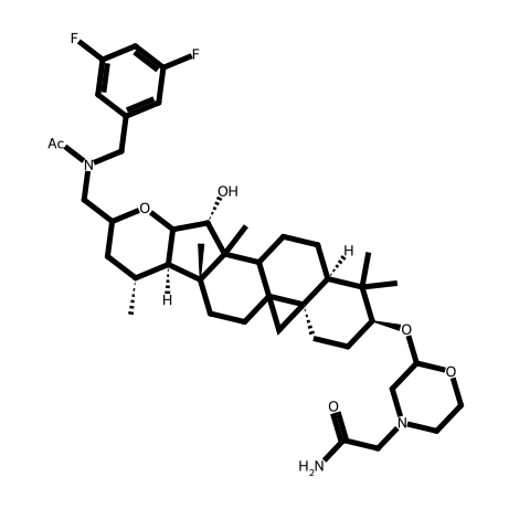 CC(=O)N(Cc1cc(F)cc(F)c1)CC1C[C@@H](C)[C@H]2C(O1)[C@H](O)C1(C)C3CC[C@H]4C(C)(C)[C@@H](OC5CN(CC(N)=O)CCO5)CC[C@@]45CC35CC[C@]21C